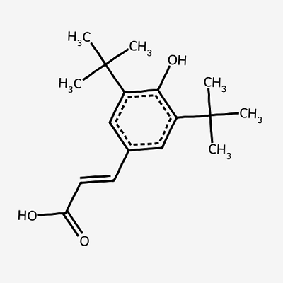 CC(C)(C)c1cc(C=CC(=O)O)cc(C(C)(C)C)c1O